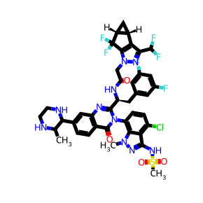 CC1NCCNC1c1ccc2c(=O)n(-c3ccc(Cl)c4c(NS(C)(=O)=O)nn(C)c34)c([C@H](Cc3cc(F)cc(F)c3)NC(=O)Cn3nc(C(F)F)c4c3C(F)(F)[C@@H]3C[C@H]43)nc2c1